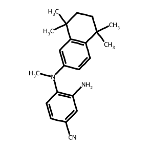 CN(c1ccc2c(c1)C(C)(C)CCC2(C)C)c1ccc(C#N)cc1N